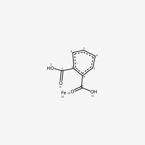 O=C(O)c1ccccc1C(=O)O.[Fe]